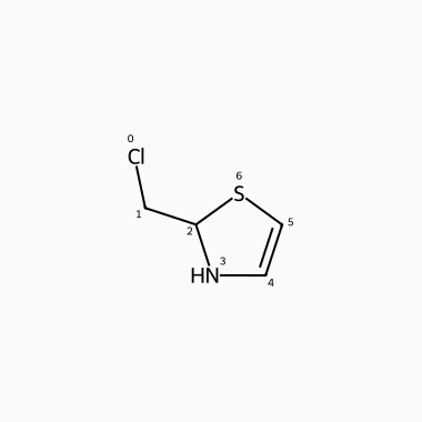 ClCC1NC=CS1